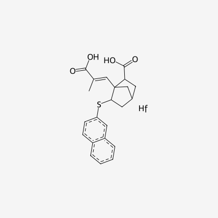 CC(=CC12CC(CC1Sc1ccc3ccccc3c1)CC2C(=O)O)C(=O)O.[Hf]